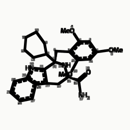 COc1cc(OC)c(C[C@@]2(C3CCCCC3)N[C@@H](C(N)=O)Cc3c2[nH]c2ccccc32)c(OC)c1